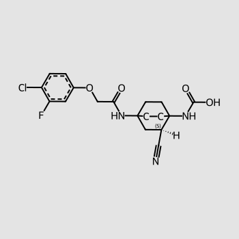 N#C[C@H]1CC2(NC(=O)COc3ccc(Cl)c(F)c3)CCC1(NC(=O)O)CC2